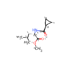 COC(=O)[C@H](CC(C)C)NC(=O)C1CC1